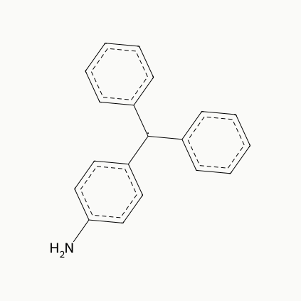 Nc1ccc([C](c2ccccc2)c2ccccc2)cc1